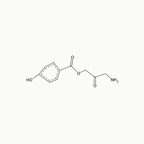 NCC(=O)COC(=O)c1ccc(O)cc1